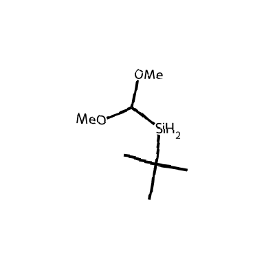 COC(OC)[SiH2]C(C)(C)C